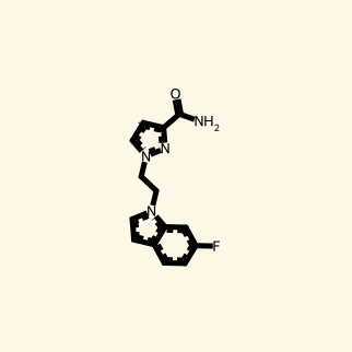 NC(=O)c1[c]cn(CCn2ccc3ccc(F)cc32)n1